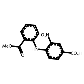 COC(=O)c1ccccc1Nc1ccc(C(=O)O)cc1[N+](=O)[O-]